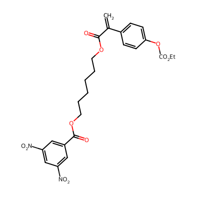 C=C(C(=O)OCCCCCCOC(=O)c1cc([N+](=O)[O-])cc([N+](=O)[O-])c1)c1ccc(OC(=O)OCC)cc1